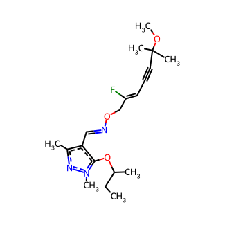 CCC(C)Oc1c(C=NOCC(F)=CC#CC(C)(C)OC)c(C)nn1C